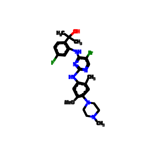 COc1cc(Nc2ncc(Br)c(Nc3cc(F)ccc3C(C)(C)O)n2)c(C)cc1N1CCN(C)CC1